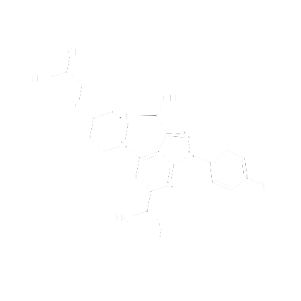 COC(O)c1cc(N2CCC(OCC(C)C)CC2)c2c(C(C)C)nn(-c3ccc(F)cc3)c2n1